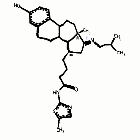 Cc1cnc(NC(=O)CCC[C@@H]2C/C(=N\CC(C)C)[C@@]3(C)CCC4c5ccc(O)cc5CCC4C23)s1